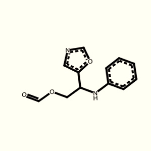 O=COCC(Nc1ccccc1)c1cnco1